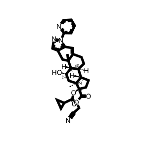 CC12Cc3cnn(-c4ccccn4)c3C=C1CC[C@@H]1[C@@H]2[C@@H](O)C[C@@]2(C)[C@H]1CC[C@]2(OC(=O)C1CC1)C(=O)OCC#N